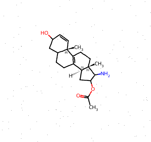 CC(=O)OC1C[C@H]2C3=C(CC[C@]2(C)C1N)[C@@]1(C)C=CC(O)CC1CC3